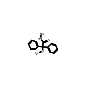 COC(C(=O)NN)(c1ccccc1)c1ccccc1